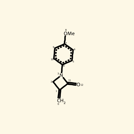 C=C1CN(c2ccc(OC)cc2)C1=O